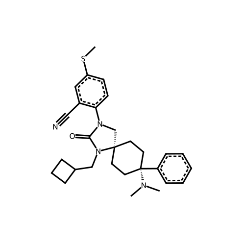 CSc1ccc(N2C[C@]3(CC[C@@](c4ccccc4)(N(C)C)CC3)N(CC3CCC3)C2=O)c(C#N)c1